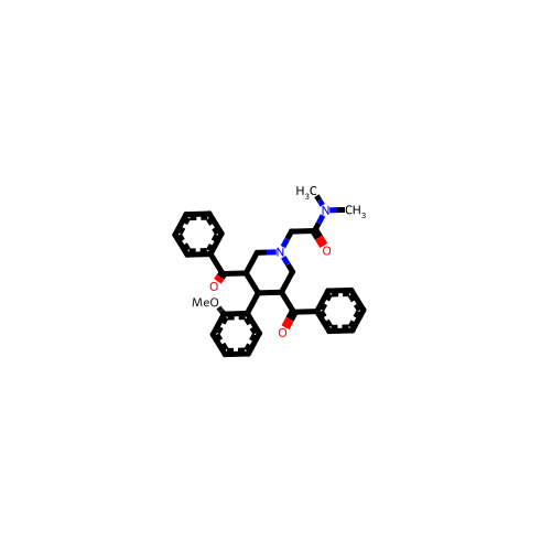 COc1ccccc1C1C(C(=O)c2ccccc2)CN(CC(=O)N(C)C)CC1C(=O)c1ccccc1